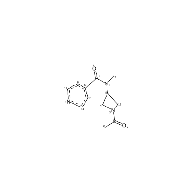 CC(=O)N1CC(N(C)C(=O)c2[c]cncc2)C1